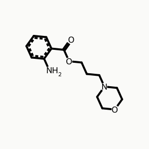 Nc1ccccc1C(=O)OCCCN1CCOCC1